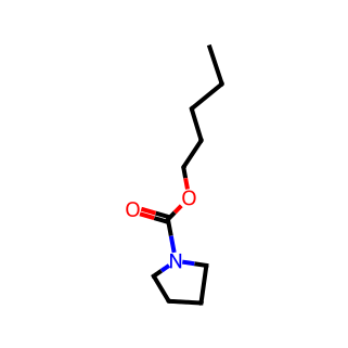 CCCCCOC(=O)N1CCCC1